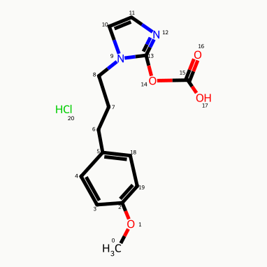 COc1ccc(CCCn2ccnc2OC(=O)O)cc1.Cl